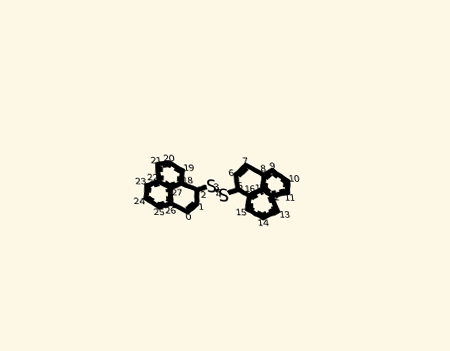 C1=CC(SSC2C=Cc3cccc4cccc2c34)c2cccc3cccc1c23